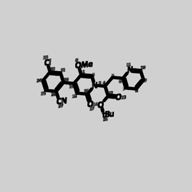 COc1cn(C(Cc2ccccn2)C(=O)OC(C)(C)C)c(=O)cc1-c1cc(Cl)ccc1C#N